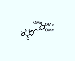 COc1cc(CCc2ccc(C(=O)c3ccsc3N)cc2)cc(OC)c1OC